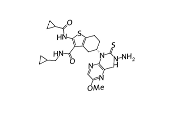 COc1cnc(N(C(=S)NN)[C@H]2CCc3sc(NC(=O)C4CC4)c(C(=O)NCC4CC4)c3C2)c(C)n1